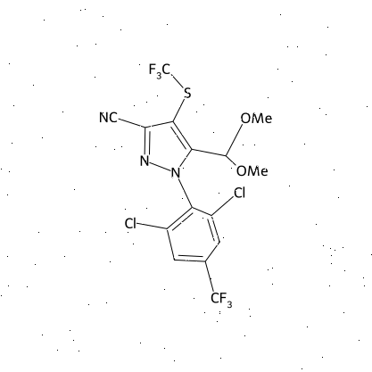 COC(OC)c1c(SC(F)(F)F)c(C#N)nn1-c1c(Cl)cc(C(F)(F)F)cc1Cl